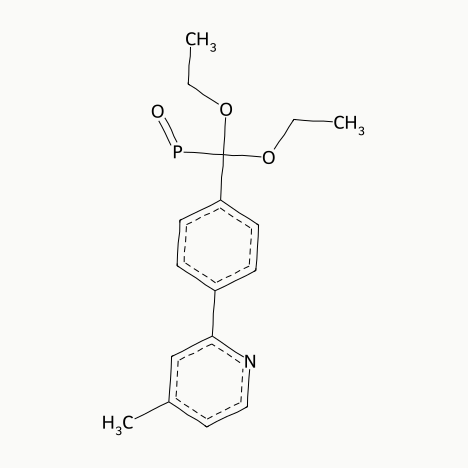 CCOC(OCC)(P=O)c1ccc(-c2cc(C)ccn2)cc1